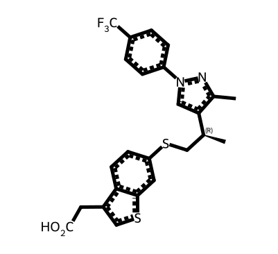 Cc1nn(-c2ccc(C(F)(F)F)cc2)cc1[C@@H](C)CSc1ccc2c(CC(=O)O)csc2c1